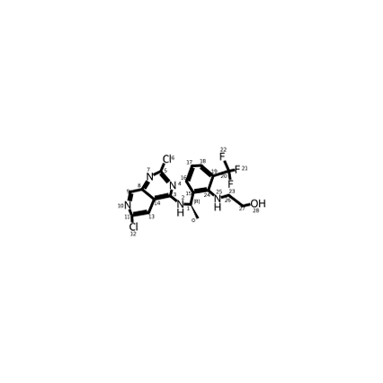 C[C@@H](Nc1nc(Cl)nc2cnc(Cl)cc12)c1cccc(C(F)(F)F)c1NCCO